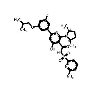 CC(C)COc1cc(F)cc(-c2cc(O)c(C(=O)NS(=O)(=O)c3cccc(N)n3)c(N3[C@H](C)CC[C@@H]3C)n2)c1